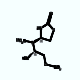 CCCC[C@@H](CO[N+](=O)[O-])N(C(=O)O)[C@@H]1CSC(=O)N1